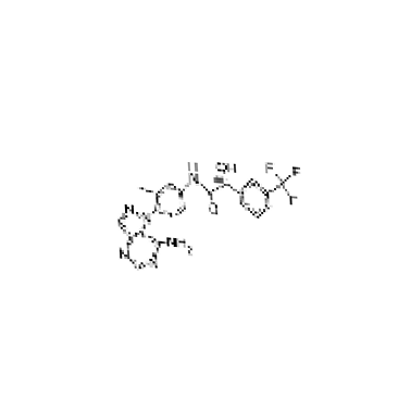 Cc1cc(NC(=O)[C@H](O)c2cccc(C(F)(F)F)c2)ccc1-n1ncc2ncnc(N)c21